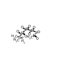 C[Si](=O)[Si](=O)[Si](=O)[Si](=O)[Si](=O)[Si](=O)[Si](=O)[Si](=O)[Si](C)(C)C